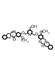 COc1cc2c(cc1OCc1cc(CO)cc(COc3cc4c(cc3OC)C(=O)N3Cc5ccccc5CC3C=N4)n1)N=C[C@@H]1Cc3ccccc3CN1C2